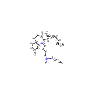 CC(=O)/C=C/CN(C)CCCCN1c2ccccc2CCc2ccc(Cl)cc21.O=C(O)/C=C\C(=O)O